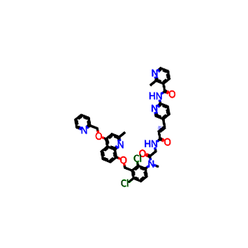 Cc1cc(OCc2ccccn2)c2cccc(OCc3c(Cl)ccc(N(C)C(=O)CNC(=O)/C=C/c4ccc(NC(=O)c5cccnc5C)nc4)c3Cl)c2n1